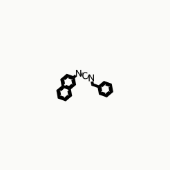 C(=NCc1ccccc1)=Nc1ccc2ccccc2c1